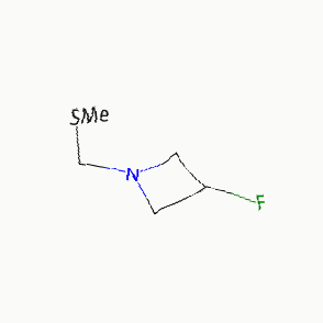 CSCN1CC(F)C1